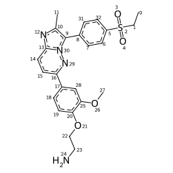 CCS(=O)(=O)c1ccc(-c2c(C)nc3ccc(-c4ccc(OCCN)c(OC)c4)nn23)cc1